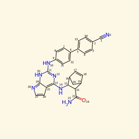 N#Cc1ccc(-c2ccc(Nc3nc(NC4C5C=CC(C5)C4C(N)=O)c4ccnc-4[nH]3)cc2)cc1